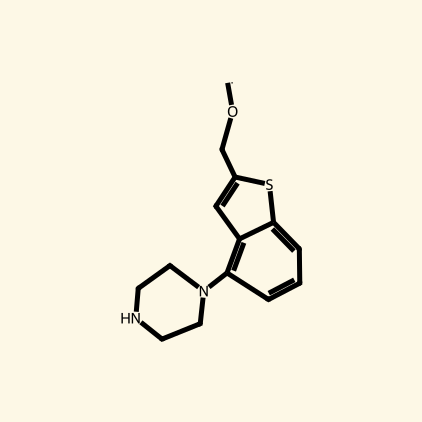 [CH2]OCc1cc2c(N3CCNCC3)cccc2s1